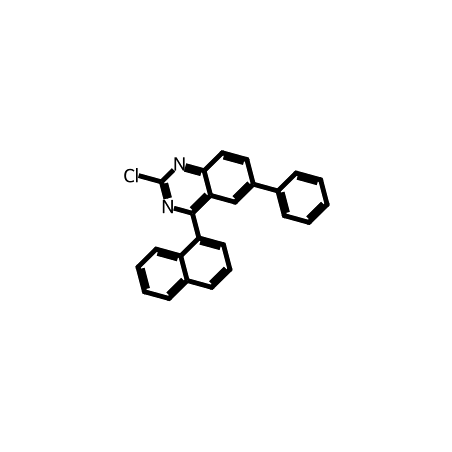 Clc1nc(-c2cccc3ccccc23)c2cc(-c3ccccc3)ccc2n1